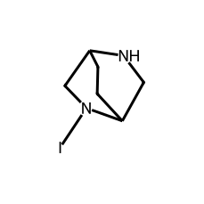 IN1CC2CCC1CN2